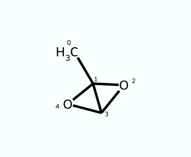 CC12OC1O2